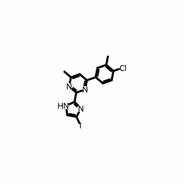 Cc1cc(-c2ccc(Cl)c(C)c2)nc(-c2nc(I)c[nH]2)n1